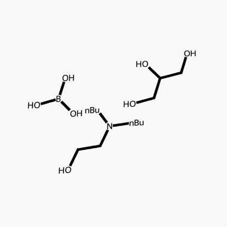 CCCCN(CCO)CCCC.OB(O)O.OCC(O)CO